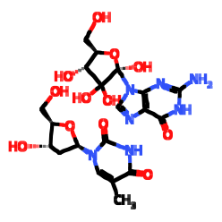 Cc1cn([C@H]2C[C@H](O)[C@@H](CO)O2)c(=O)[nH]c1=O.Nc1nc2c(ncn2[C@]2(O)O[C@H](CO)[C@@H](O)C2(O)O)c(=O)[nH]1